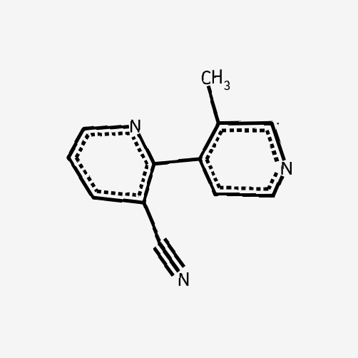 Cc1[c]nccc1-c1ncccc1C#N